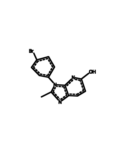 Cc1nc2ccc(O)nc2n1-c1ccc(Br)cc1